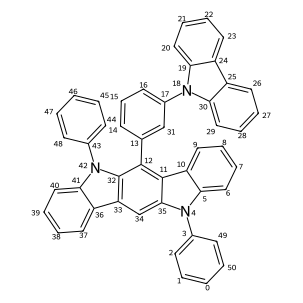 c1ccc(-n2c3ccccc3c3c(-c4cccc(-n5c6ccccc6c6ccccc65)c4)c4c(cc32)c2ccccc2n4-c2ccccc2)cc1